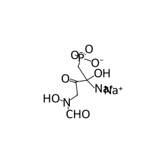 CC(O)(CP(=O)([O-])[O-])C(=O)CN(O)C=O.[Na+].[Na+]